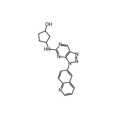 OC1CCC(Nc2ncc3nnn(-c4ccc5ncccc5c4)c3n2)C1